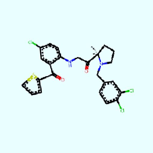 C[C@]1(C(=O)CNc2ccc(Cl)cc2C(=O)c2cccs2)CCCN1Cc1ccc(Cl)c(Cl)c1